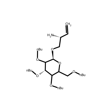 C=C[C@@H](N)CO[C@H]1OC(COCCCC)C(OCCCC)[C@H](OCCCC)C1OCCCC